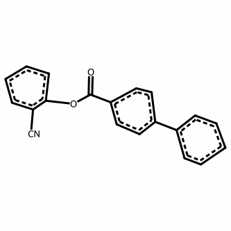 N#Cc1ccccc1OC(=O)c1ccc(-c2ccccc2)cc1